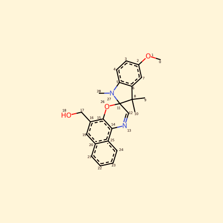 COc1ccc2c(c1)C(C)(C)C1(C=Nc3c(c(CO)cc4ccccc34)O1)N2C